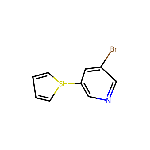 Brc1cncc([SH]2C=CC=C2)c1